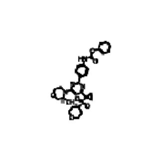 C[C@H]1COCCN1c1cc(C2(S(=O)(=O)C3CCOCC3)CC2)nc(-c2ccc(NC(=O)Oc3ccccc3)cc2)n1